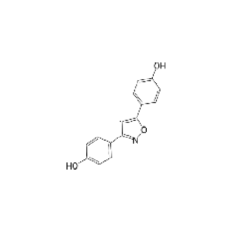 Oc1ccc(-c2[c]c(-c3ccc(O)cc3)on2)cc1